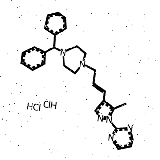 Cc1c(C=CCN2CCN(C(c3ccccc3)c3ccccc3)CC2)cnn1-c1ncccn1.Cl.Cl